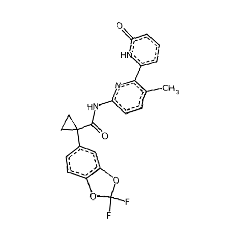 Cc1ccc(NC(=O)C2(c3ccc4c(c3)OC(F)(F)O4)CC2)nc1-c1cccc(=O)[nH]1